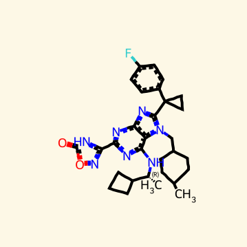 CC1CCC(Cn2c(C3(c4ccc(F)cc4)CC3)nc3nc(-c4noc(=O)[nH]4)nc(N[C@H](C)C4CCC4)c32)CC1